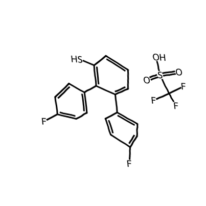 Fc1ccc(-c2cccc(S)c2-c2ccc(F)cc2)cc1.O=S(=O)(O)C(F)(F)F